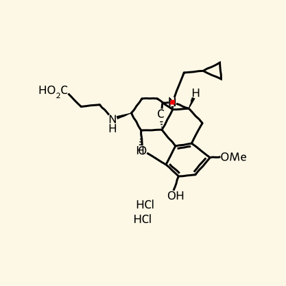 COc1cc(O)c2c3c1C[C@@H]1[C@@H]4CC[C@H](NCCC(=O)O)[C@H](O2)[C@]34CCN1CC1CC1.Cl.Cl